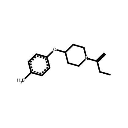 Bc1ccc(OC2CCN(C(=C)CC)CC2)cc1